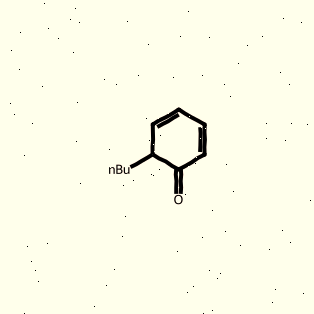 CCCCC1C=CC=CC1=O